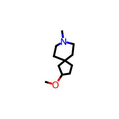 COC1CCC2(CCN(C)CC2)C1